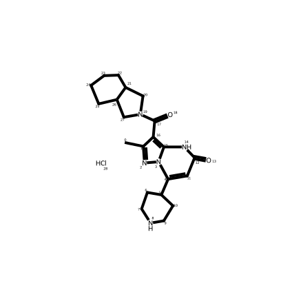 Cc1nn2c(C3CCNCC3)cc(=O)[nH]c2c1C(=O)N1CC2CCCCC2C1.Cl